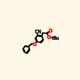 CC(C)(C)OC(=O)Cc1ccc(OCc2ccccc2)cc1C#N